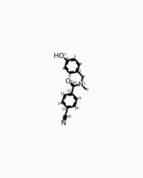 CN(Cc1ccc(O)cc1)C(=O)c1ccc(C#N)cc1